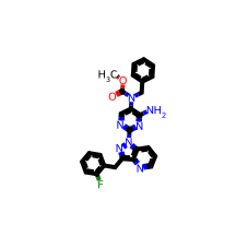 COC(=O)N(Cc1ccccc1)c1cnc(-n2nc(Cc3ccccc3F)c3ncccc32)nc1N